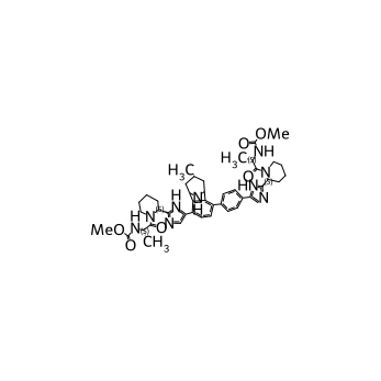 COC(=O)N[C@@H](C)C(=O)N1CCCC[C@H]1c1ncc(-c2ccc(-c3ccc(-c4cnc([C@@H]5CCCCN5C(=O)[C@H](C)NC(=O)OC)[nH]4)c4c3C3CC(C)CC4N3)cc2)[nH]1